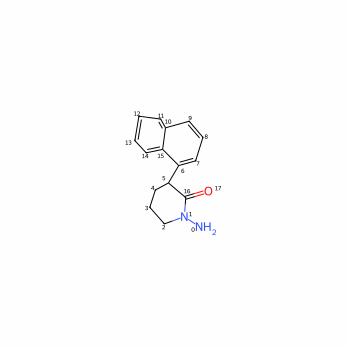 NN1CCCC(c2cccc3ccccc23)C1=O